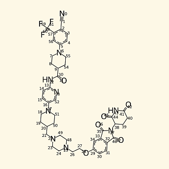 N#Cc1ccc(N2CCC(C(=O)Nc3ccc(N4CCC(CN5CCN(CCOc6ccc7c(c6)C(=O)N(C6CCC(=O)NC6=O)C7=O)CC5)CC4)cn3)CC2)cc1C(F)(F)F